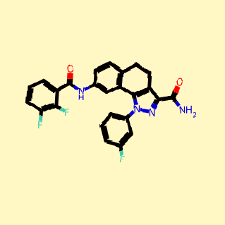 NC(=O)c1nn(-c2cccc(F)c2)c2c1CCc1ccc(NC(=O)c3cccc(F)c3F)cc1-2